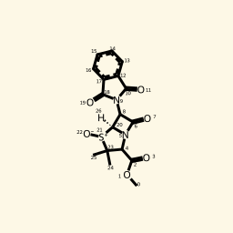 COC(=O)C1N2C(=O)C(N3C(=O)c4ccccc4C3=O)[C@@H]2[S+]([O-])C1(C)C